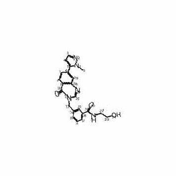 Cn1nccc1-c1ccc2c(=O)n(Cc3cccc(C(=O)NCCO)c3)cnc2c1